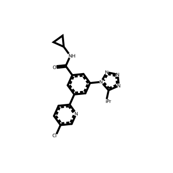 CC(C)c1nnnn1-c1cc(C(=O)NC2CC2)cc(-c2ccc(Cl)cn2)c1